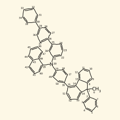 CC1(c2ccccc2)c2ccccc2-c2c(-c3ccc(N(c4cccc(-c5ccc(-c6ccccc6)cc5)c4)c4cccc5ccccc45)cc3)cccc21